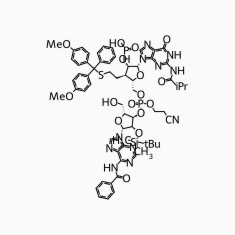 COc1ccc(C(SCC[C@H]2[C@@H](O[PH](=O)O)[C@H](n3cnc4c(=O)[nH]c(NC(=O)C(C)C)nc43)O[C@@H]2COP(=O)(OCCC#N)O[C@H]2[C@@H](O[Si](C)(C)C(C)(C)C)[C@H](n3cnc4c(NC(=O)c5ccccc5)ncnc43)O[C@@H]2CO)(c2ccccc2)c2ccc(OC)cc2)cc1